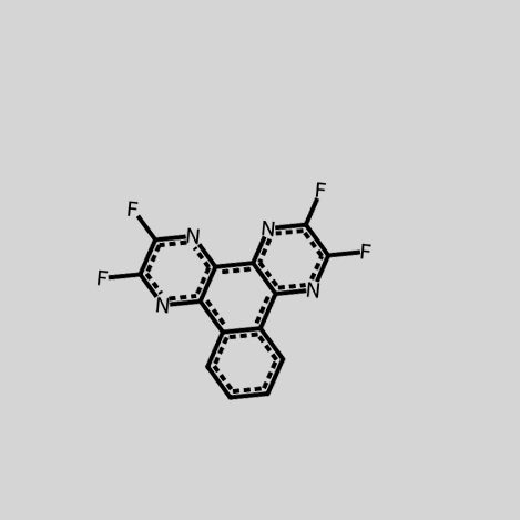 Fc1nc2c3ccccc3c3nc(F)c(F)nc3c2nc1F